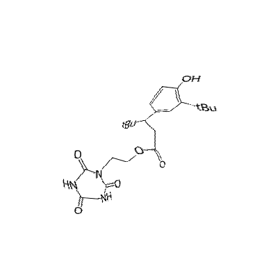 CC(C)(C)c1cc(C(CC(=O)OCCn2c(=O)[nH]c(=O)[nH]c2=O)C(C)(C)C)ccc1O